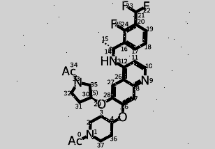 CC(=O)N1CCC(Oc2cc3nccc(N[C@H](C)c4cccc(C(F)F)c4F)c3cc2O[C@H]2CCN(C(C)=O)C2)CC1